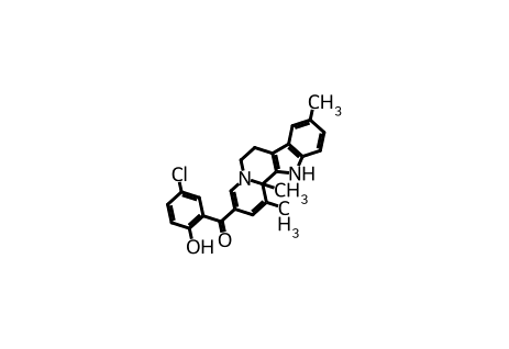 CC1=CC(C(=O)c2cc(Cl)ccc2O)=CN2CCc3c([nH]c4ccc(C)cc34)C12C